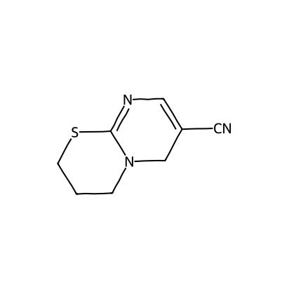 N#CC1=CN=C2SCCCN2C1